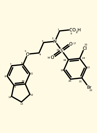 O=C(O)CN(CCOc1ccc2c(c1)CCC2)S(=O)(=O)c1ccc(Br)cc1Cl